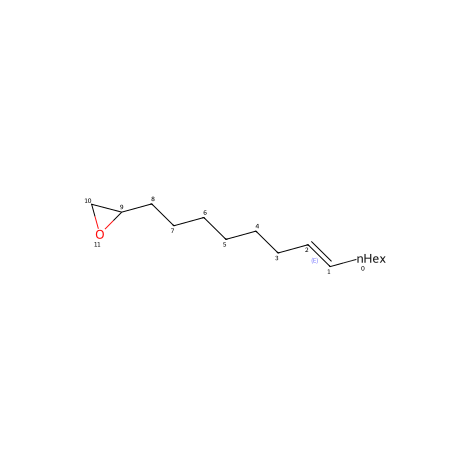 CCCCCC/C=C/CCCCCCC1CO1